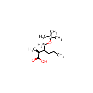 C=C(C(=O)O)C(CCC)[SiH2]O[Si](C)(C)C